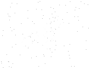 C#Cc1ccc2c(-c3ccc4ccccc4c3)c3ccc(C)cc3nc2c1/C=C\C